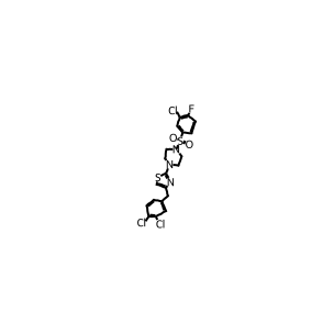 O=S(=O)(c1ccc(F)c(Cl)c1)N1CCN(c2nc(Cc3ccc(Cl)c(Cl)c3)cs2)CC1